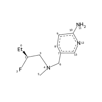 CC[C@H](F)CN(C)Cc1ccc(N)nc1